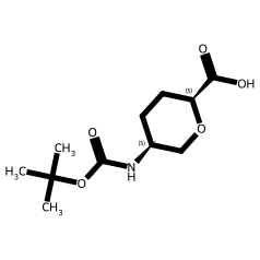 CC(C)(C)OC(=O)N[C@H]1CC[C@@H](C(=O)O)OC1